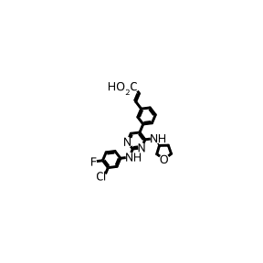 O=C(O)/C=C/c1cccc(-c2cnc(Nc3ccc(F)c(Cl)c3)nc2N[C@@H]2CCOC2)c1